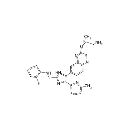 Cc1cccc(-c2nc(CNc3ccccc3F)[nH]c2-c2ccc3ncc(O[C@H](C)CN)nc3c2)n1